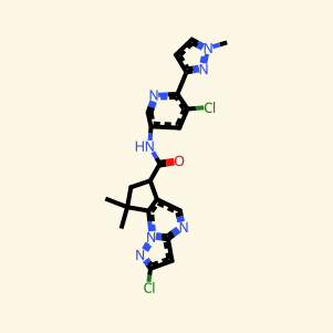 Cn1ccc(-c2ncc(NC(=O)C3CC(C)(C)c4c3cnc3cc(Cl)nn43)cc2Cl)n1